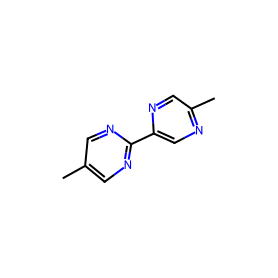 Cc1cnc(-c2cnc(C)cn2)nc1